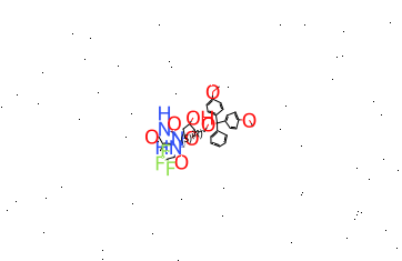 COc1ccc(C(OC[C@H]2O[C@@](CNC(=O)C(F)(F)F)(n3cc(C)c(=O)[nH]c3=O)CC2O)(c2ccccc2)c2ccc(OC)cc2)cc1